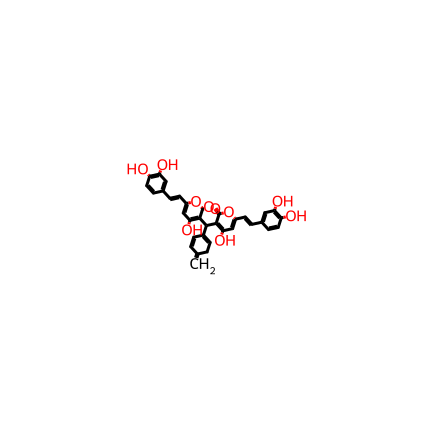 C=C1C=CC(C(c2c(O)cc(C=Cc3ccc(O)c(O)c3)oc2=O)c2c(O)cc(C=Cc3ccc(O)c(O)c3)oc2=O)=CC1